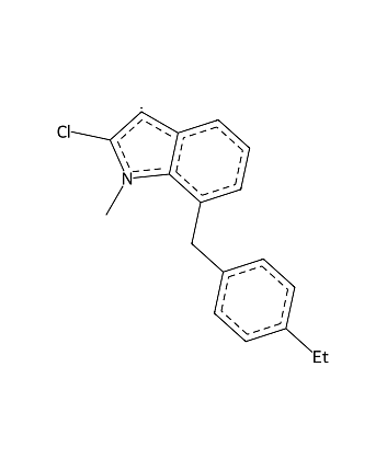 CCc1ccc(Cc2cccc3[c]c(Cl)n(C)c23)cc1